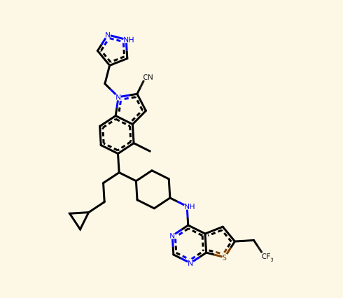 Cc1c(C(CCC2CC2)C2CCC(Nc3ncnc4sc(CC(F)(F)F)cc34)CC2)ccc2c1cc(C#N)n2Cc1cn[nH]c1